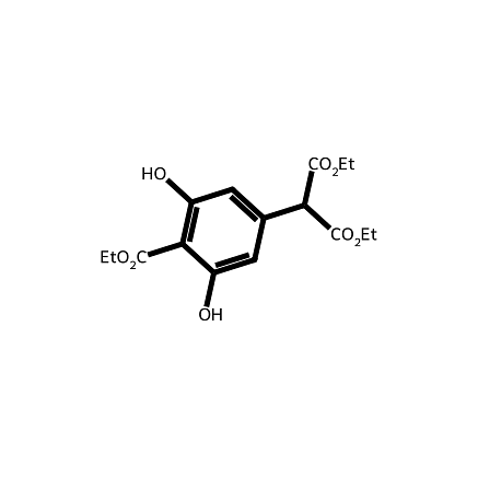 CCOC(=O)c1c(O)cc(C(C(=O)OCC)C(=O)OCC)cc1O